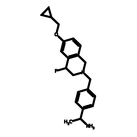 CC(N)c1ccc(CN2Cc3ccc(OCC4CC4)cc3C(F)C2)cc1